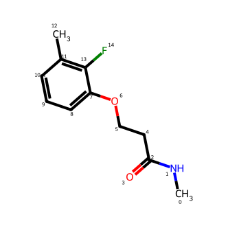 CNC(=O)CCOc1cc[c]c(C)c1F